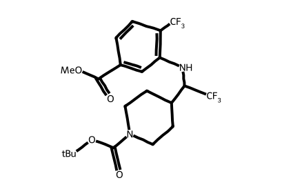 COC(=O)c1ccc(C(F)(F)F)c(NC(C2CCN(C(=O)OC(C)(C)C)CC2)C(F)(F)F)c1